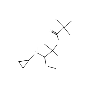 CNC(NC1CC1)C(C)(C)OC(=O)C(C)(C)C